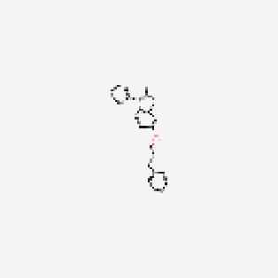 CC1=C(c2ccccc2)c2ccc(OCCCc3ccccc3)cc2[C]1